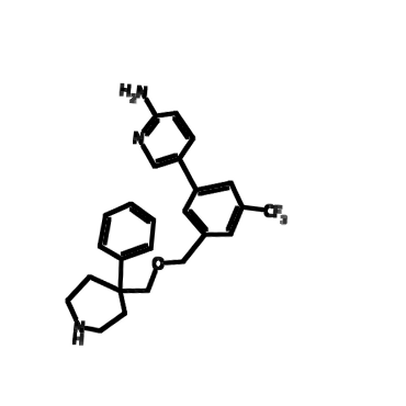 Nc1ccc(-c2cc(COCC3(c4ccccc4)CCNCC3)cc(C(F)(F)F)c2)cn1